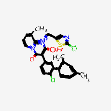 Cc1ccc(-c2cc(-c3c(O)[n+](Cc4cnc(Cl)s4)c4c(C)cccn4c3=O)ccc2Cl)c(C)c1